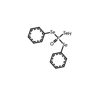 O=P([SeH])([Se]c1ccccc1)[Se]c1ccccc1